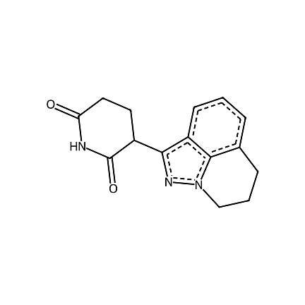 O=C1CCC(c2nn3c4c(cccc24)CCC3)C(=O)N1